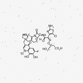 CCn1cc(C[N+]2(CC3=C(C(=O)O)N4C(=O)[C@@H](NC(=O)/C(=N\O[C@@H](CC(=O)O)C(=O)O)c5nc(N)sc5Cl)[C@H]4SC3)CCCC2)c(=O)c2cc(F)c(O)c(O)c21